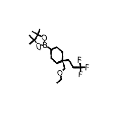 CCOCC1(CCC(F)(F)F)CCC(B2OC(C)(C)C(C)(C)O2)CC1